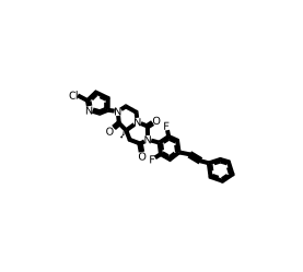 C[C@@]12CC(=O)N(c3c(F)cc(C#Cc4ccccc4)cc3F)C(=O)N1CCN(c1ccc(Cl)nc1)C2=O